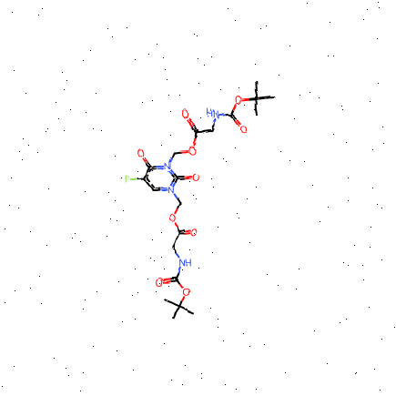 CC(C)(C)OC(=O)NCC(=O)OCn1cc(F)c(=O)n(COC(=O)CNC(=O)OC(C)(C)C)c1=O